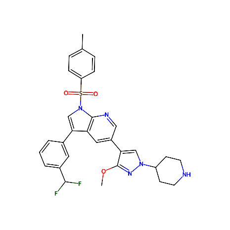 COc1nn(C2CCNCC2)cc1-c1cnc2c(c1)c(-c1cccc(C(F)F)c1)cn2S(=O)(=O)c1ccc(C)cc1